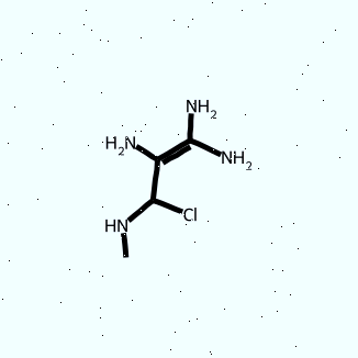 CNC(Cl)C(N)=C(N)N